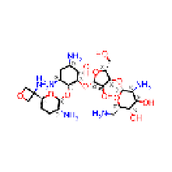 NC[C@@H]1O[C@H](O[C@H]2[C@@H](O)[C@H](O[C@@H]3[C@@H](O)[C@H](N)C[C@H](N)[C@H]3O[C@H]3O[C@H](C4(N)COC4)CC[C@H]3N)O[C@@H]2CO)[C@H](N)[C@@H](O)[C@@H]1O